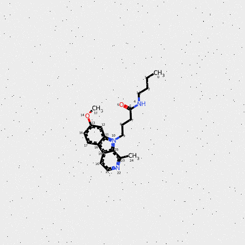 CCCCNC(=O)CCCn1c2cc(OC)ccc2c2ccnc(C)c21